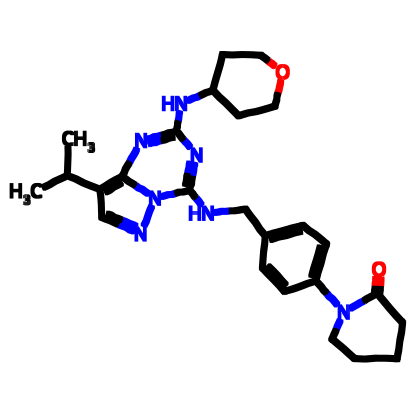 CC(C)c1cnn2c(NCc3ccc(N4CCCCC4=O)cc3)nc(NC3CCOCC3)nc12